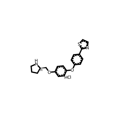 Cl.c1csc(-c2ccc(Oc3ccc(OC[C@H]4CCCN4)cc3)cc2)n1